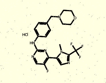 Cl.Cn1c(-c2nc(Nc3ccc(CN4CCOCC4)cc3)ncc2F)cnc1C(F)(F)F